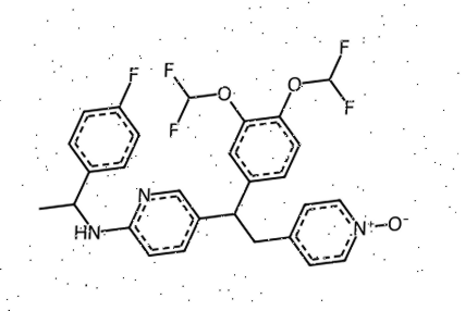 CC(Nc1ccc(C(Cc2cc[n+]([O-])cc2)c2ccc(OC(F)F)c(OC(F)F)c2)cn1)c1ccc(F)cc1